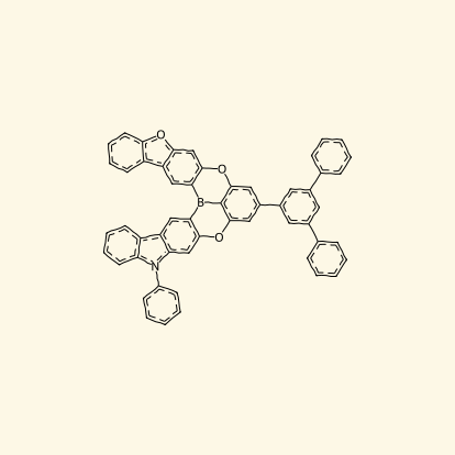 c1ccc(-c2cc(-c3ccccc3)cc(-c3cc4c5c(c3)Oc3cc6c(cc3B5c3cc5c(cc3O4)oc3ccccc35)c3ccccc3n6-c3ccccc3)c2)cc1